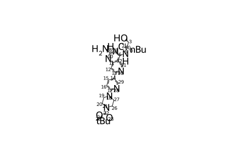 CCCC[C@](C)(CO)Nc1nc(N)nc2cc(-c3ccc(N4CCN(C(=O)OC(C)(C)C)CC4)nc3)ncc12